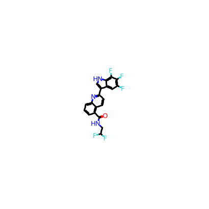 O=C(NCC(F)F)c1cccc2nc(-c3c[nH]c4c(F)c(F)c(F)cc34)ccc12